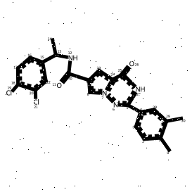 Cc1ccc(-c2nn3cc(C(=O)NC(C)c4ccc(Cl)c(Cl)c4)cc3c(=O)[nH]2)cc1C